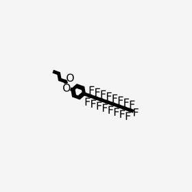 CCCC(=O)Oc1ccc(C(F)(F)C(F)(F)C(F)(F)C(F)(F)C(F)(F)C(F)(F)C(F)(F)C(F)(F)F)cc1